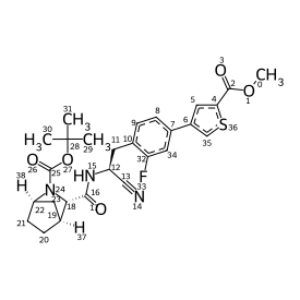 COC(=O)c1cc(-c2ccc(C[C@@H](C#N)NC(=O)[C@@H]3[C@H]4CC[C@H](C4)N3C(=O)OC(C)(C)C)c(F)c2)cs1